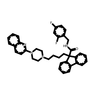 O=C(NCc1ccc(F)cc1F)C1(CCCCN2CCN(c3ccc4ccccc4n3)CC2)c2ccccc2-c2ccccc21